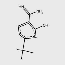 CC(C)(C)c1ccc(C(=N)N)c(O)c1